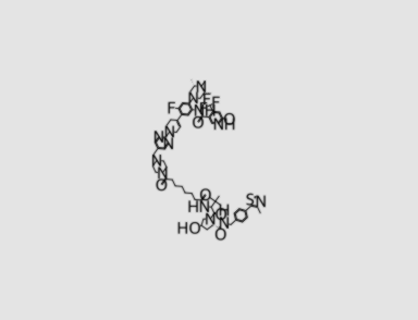 Cc1ncsc1-c1ccc(CNC(=O)[C@@H]2C[C@@H](O)CN2C(=O)C(NC(=O)CCCCCCC(=O)N2CCN(Cc3cnc(N4CC=C(c5cc(NC(=O)c6c[nH]c(=O)cc6C(F)(F)F)c(N6C[C@@H](C)N(C)[C@@H](C)C6)cc5F)CC4)nc3)CC2)C(C)(C)C)cc1